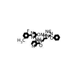 COc1cnc(-c2cc(C)ccc2F)nc1Nc1ccncc1C(=O)NCCCN/C(=N\C#N)Oc1ccccc1